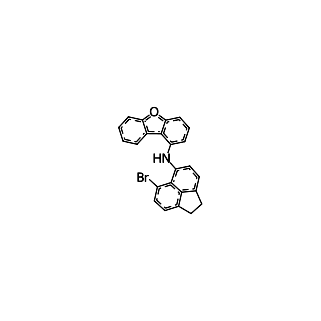 Brc1ccc2c3c(ccc(Nc4cccc5oc6ccccc6c45)c13)CC2